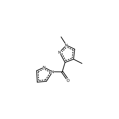 Cc1cn(C)nc1C(=O)n1cccn1